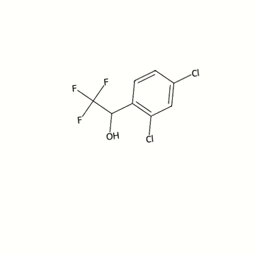 OC(c1ccc(Cl)cc1Cl)C(F)(F)F